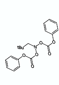 CC(C)(C)CN(OC(=O)Oc1ccccc1)OC(=O)Oc1ccccc1